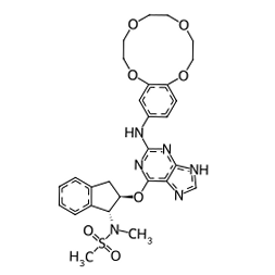 CN([C@@H]1c2ccccc2C[C@H]1Oc1nc(Nc2ccc3c(c2)OCCOCCOCCO3)nc2[nH]cnc12)S(C)(=O)=O